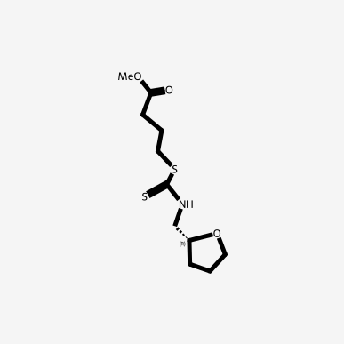 COC(=O)CCCSC(=S)NC[C@H]1CCCO1